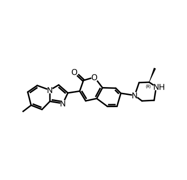 Cc1ccn2cc(-c3cc4ccc(N5CCN[C@H](C)C5)cc4oc3=O)nc2c1